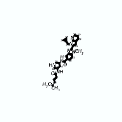 CN(C)C/C=C/C(=O)NC1CNCC(NC(=O)c2ccc3c(c2)nc(-c2cc4cccnc4n2CC2CC2)n3C)C1